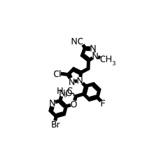 C[C@@H](Oc1cc(Br)cnc1[N+](=O)[O-])c1cc(F)ccc1-n1nc(Cl)cc1Cc1cc(C#N)nn1C